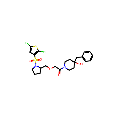 O=C(COCC1CCCN1S(=O)(=O)c1cc(Cl)sc1Cl)N1CCC(O)(Cc2ccccc2)CC1